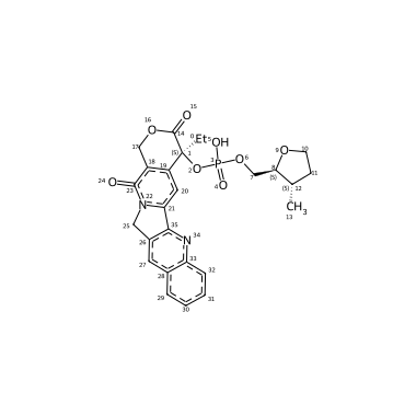 CC[C@@]1(OP(=O)(O)OC[C@H]2OCC[C@@H]2C)C(=O)OCc2c1cc1n(c2=O)Cc2cc3ccccc3nc2-1